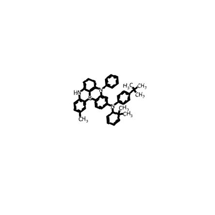 Cc1ccc2c(c1)B1C3=C(CCC=C3N2)N(c2ccccc2)c2cc(N(c3ccc(C(C)(C)C)cc3)C3C=CC=CC3(C)C)ccc21